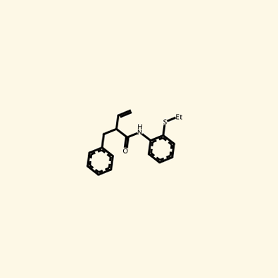 C=CC(Cc1ccccc1)C(=O)Nc1ccccc1SCC